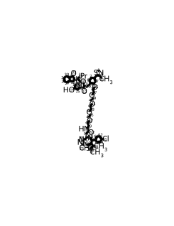 Cc1ncsc1-c1ccc(CNC(=O)[C@@H]2C[C@@H](O)CN2C(=O)C(C(C)C)N2Cc3ccccc3C2=O)c(OCCOCCOCCOCCOCCNC(=O)C[C@@H]2N=C(c3ccc(Cl)cc3)c3c(sc(C)c3C)-n3c(C)nnc32)c1